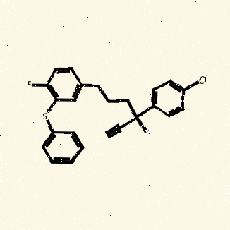 C#CC(C)(CCCc1ccc(F)c(Sc2ccccc2)c1)c1ccc(Cl)cc1